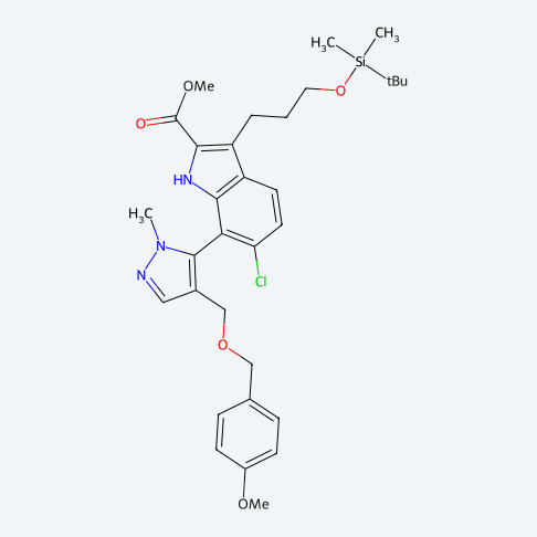 COC(=O)c1[nH]c2c(-c3c(COCc4ccc(OC)cc4)cnn3C)c(Cl)ccc2c1CCCO[Si](C)(C)C(C)(C)C